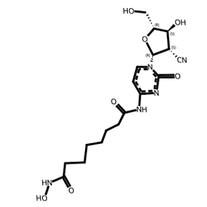 N#C[C@H]1[C@H](O)[C@@H](CO)O[C@H]1n1ccc(NC(=O)CCCCCCC(=O)NO)nc1=O